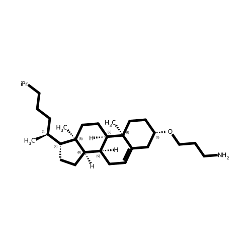 CC(C)CCC[C@H](C)[C@H]1CC[C@@H]2[C@@H]3CC=C4C[C@@H](OCCCN)CC[C@]4(C)[C@@H]3CC[C@@]21C